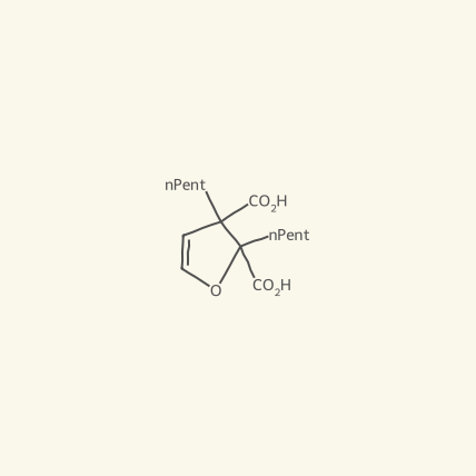 CCCCCC1(C(=O)O)C=COC1(CCCCC)C(=O)O